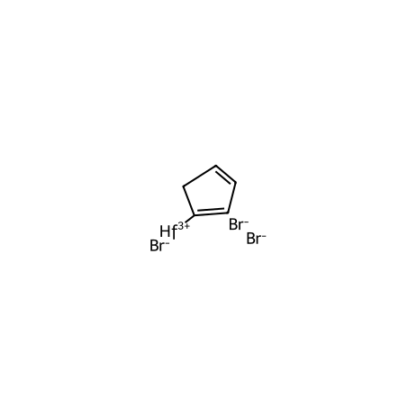 [Br-].[Br-].[Br-].[Hf+3][C]1=CC=CC1